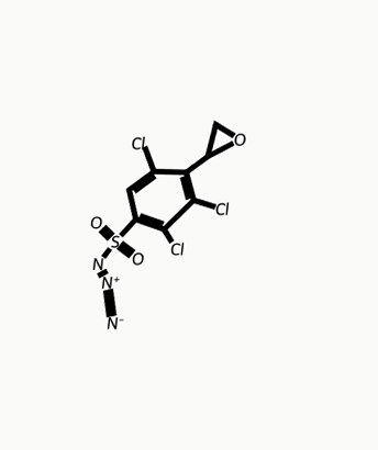 [N-]=[N+]=NS(=O)(=O)c1cc(Cl)c(C2CO2)c(Cl)c1Cl